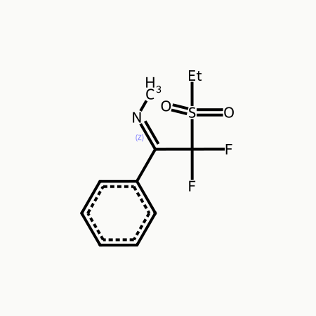 CCS(=O)(=O)C(F)(F)/C(=N\C)c1ccccc1